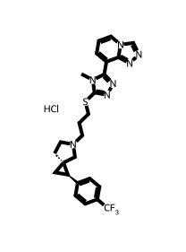 Cl.Cn1c(SCCCN2CC[C@]3(C[C@@H]3c3ccc(C(F)(F)F)cc3)C2)nnc1-c1cccn2cnnc12